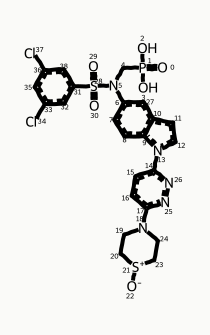 O=P(O)(O)CN(c1ccc2c(ccn2-c2ccc(N3CC[S+]([O-])CC3)nn2)c1)S(=O)(=O)c1cc(Cl)cc(Cl)c1